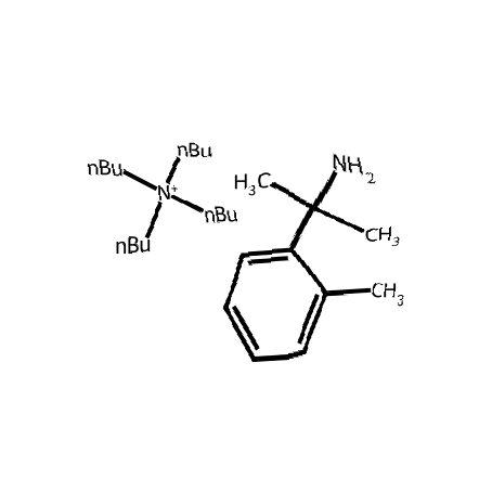 CCCC[N+](CCCC)(CCCC)CCCC.Cc1ccccc1C(C)(C)N